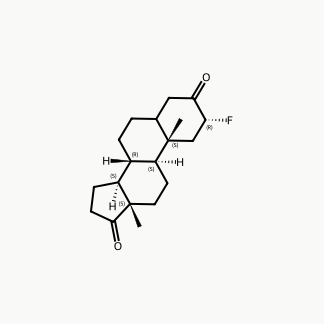 C[C@]12C[C@@H](F)C(=O)CC1CC[C@@H]1[C@@H]2CC[C@]2(C)C(=O)CC[C@@H]12